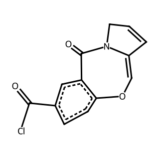 O=C(Cl)c1ccc2c(c1)C(=O)N1CC=CC1=CO2